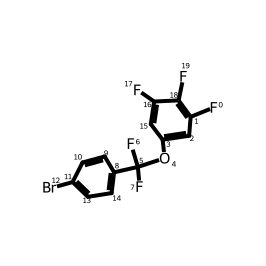 Fc1cc(OC(F)(F)c2ccc(Br)cc2)cc(F)c1F